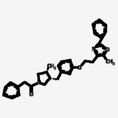 Cc1oc(-c2ccccc2)nc1CCOc1cccc(C[C@@H]2CN(C(=O)Cc3ccccc3)C[C@@H]2C)c1